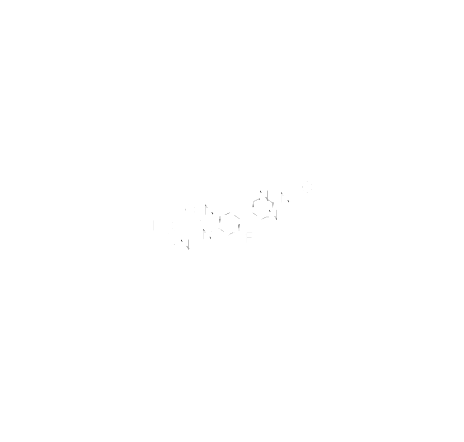 C[C@H]1CN(c2cc(F)c(-c3cnc(N4CCOCC4)nc3)cc2[N+](=O)[O-])CCN1C